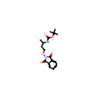 CC(CCON1C(=O)c2ccccc2C1=O)NC(=O)OC(C)(C)C